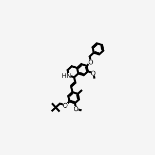 COc1cc2c(cc1OCc1ccccc1)CCNC2C=Cc1cc(OCC(C)(C)C)c(OC)cc1C